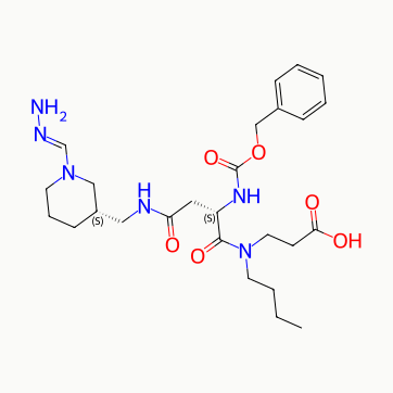 CCCCN(CCC(=O)O)C(=O)[C@H](CC(=O)NC[C@@H]1CCCN(C=NN)C1)NC(=O)OCc1ccccc1